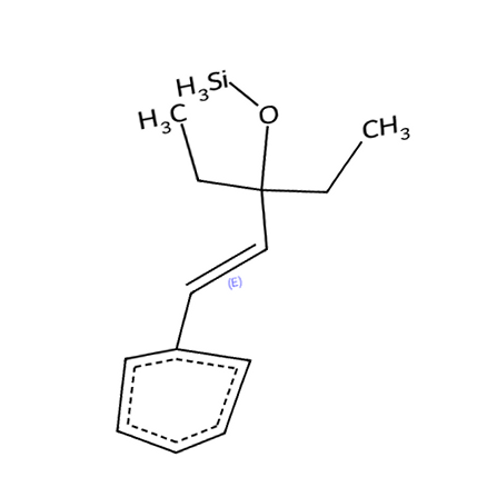 CCC(/C=C/c1ccccc1)(CC)O[SiH3]